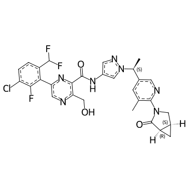 Cc1cc([C@H](C)n2cc(NC(=O)c3nc(-c4c(C(F)F)ccc(Cl)c4F)cnc3CO)cn2)cnc1N1C[C@H]2C[C@H]2C1=O